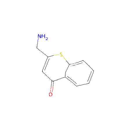 NCc1cc(=O)c2ccccc2s1